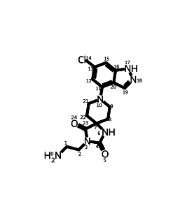 NCCN1C(=O)NC2(CCN(c3cc(Cl)cc4[nH]ncc34)CC2)C1=O